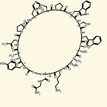 CCCC[C@H]1C(=O)N(C)[C@@H](CCCC)C(=O)N[C@@H](CCCCN)C(=O)N[C@H](C(=O)NCC(N)=O)CSCC(=O)N[C@@H](Cc2ccc(O)cc2)C(=O)N(C)[C@@H](C)C(=O)N[C@@H](CC(N)=O)C(=O)N2CCC[C@H]2C(=O)N[C@@H](Cc2cnc[nH]2)C(=O)N[C@@H](CC(C)C)C(=O)N2CCCC2C(=O)N[C@@H](Cc2c[nH]c3ccccc23)C(=O)N[C@@H](CO)C(=O)N[C@@H](Cc2csc3ccccc23)C(=O)N1C